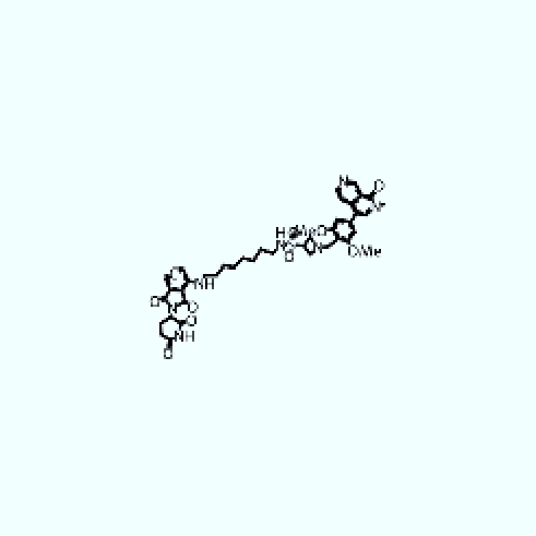 COc1cc(-c2cn(C)c(=O)c3cnccc23)cc(OC)c1CN1CC(S(=O)(=O)NCCCCCCCCNc2cccc3c2C(=O)N(C2CCC(=O)NC2=O)C3=O)C1